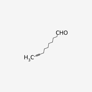 CC#CCCCCCCCC=O